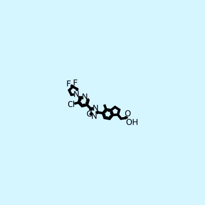 Cc1c(-c2noc(-c3cnc(N4CCC(F)(F)C4)c(Cl)c3)n2)ccc2c1CCC2CC(=O)O